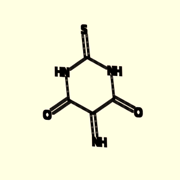 N=C1C(=O)NC(=S)NC1=O